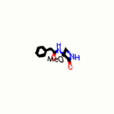 COC1(NC(=O)Cc2ccccc2)CNC1=O